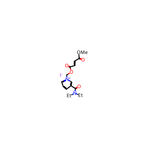 CCN(CC)C(=O)c1ccc[n+](COC(=O)C=CC(=O)OC)c1.[I-]